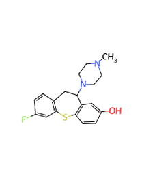 CN1CCN(C2Cc3ccc(F)cc3Sc3ccc(O)cc32)CC1